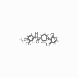 Cc1ccc(NC(=O)N2CCCN(c3c(Cl)ccnc3Cl)CC2)cc1Cl